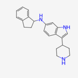 c1ccc2c(c1)CCC2Nc1ccc2c(C3CCNCC3)c[nH]c2c1